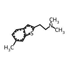 Cc1ccc2cc(CCN(C)C)sc2c1